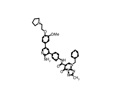 COc1cc(-c2cnc(N)c(-c3ccc(NC(=O)c4cn(Cc5ccccc5)c5nc(C)nn5c4=O)cc3)c2)ccc1OCCN1CCCC1